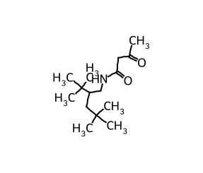 CC(=O)CC(=O)NCC(CC(C)(C)C)C(C)(C)C